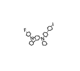 Fc1ccc(-n2c3ccccc3c3cc(N(c4ccccc4)c4ccc(-c5ccc(I)cc5)cc4)ccc32)cc1